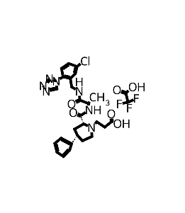 CC(NC(=O)[C@H]1C[C@@H](c2ccccc2)CCN1CCC(=O)O)C(=O)NCc1cc(Cl)ccc1-n1cnnn1.O=C(O)C(F)(F)F